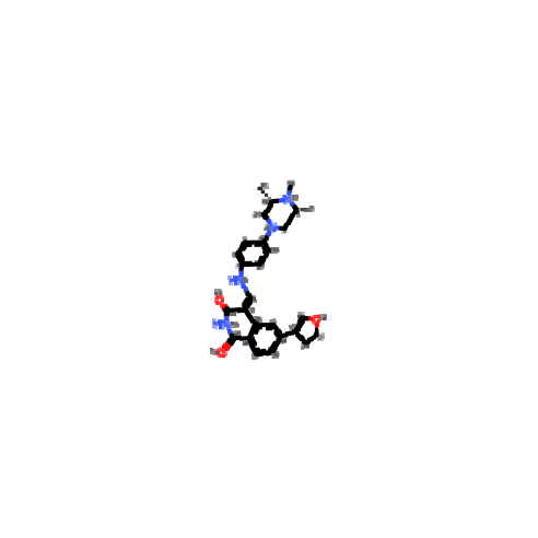 C[C@@H]1CN(c2ccc(N/C=C3\C(=O)NC(=O)c4ccc(C5=COCC5)cc43)cc2)C[C@H](C)N1C